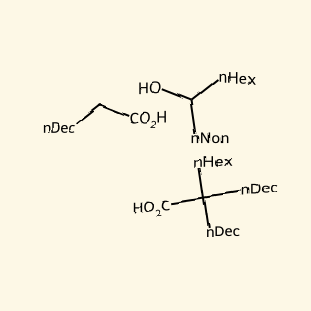 CCCCCCCCCC(O)CCCCCC.CCCCCCCCCCC(CCCCCC)(CCCCCCCCCC)C(=O)O.CCCCCCCCCCCC(=O)O